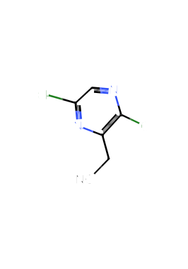 N#CCc1nc(Cl)cnc1Cl